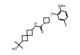 COc1ccc(F)cc1O[C@H]1C[C@H](C(=O)NC2CC3(C2)CC(C(C)(C)O)C3)C1